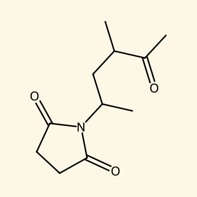 CC(=O)C(C)CC(C)N1C(=O)CCC1=O